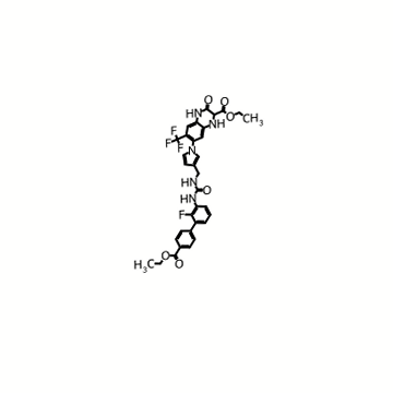 CCOC(=O)c1ccc(-c2cccc(NC(=O)NCc3ccn(-c4cc5c(cc4C(F)(F)F)NC(=O)C(C(=O)OCC)N5)c3)c2F)cc1